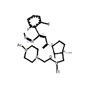 C=C(/C=C(\N=N/C)c1c(F)cccc1F)[C@@H]1CC[C@@](C)(CN(CC)C(=O)CN2CCN(C(C)=O)CC2)C1(C)C